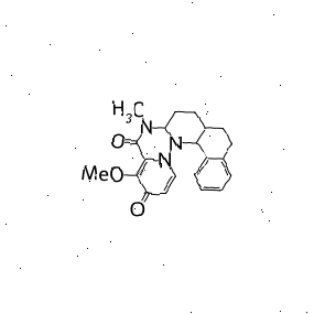 COc1c2n(ccc1=O)N1C3c4ccccc4CCC3CCC1N(C)C2=O